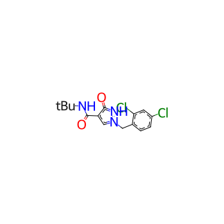 CC(C)(C)NC(=O)c1cn(Cc2ccc(Cl)cc2Cl)[nH]c1=O